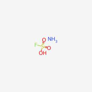 N.O=S(=O)(O)F